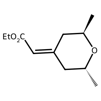 CCOC(=O)C=C1C[C@@H](C)O[C@H](C)C1